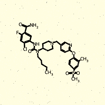 CCCCCN(C(=O)Nc1cc(C(N)=O)c(F)cc1Cl)C1CCN(Cc2ccc(Oc3ccc(S(C)(=O)=O)cc3C)nc2)CC1